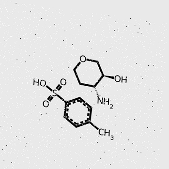 Cc1ccc(S(=O)(=O)O)cc1.N[C@@H]1CCOC[C@H]1O